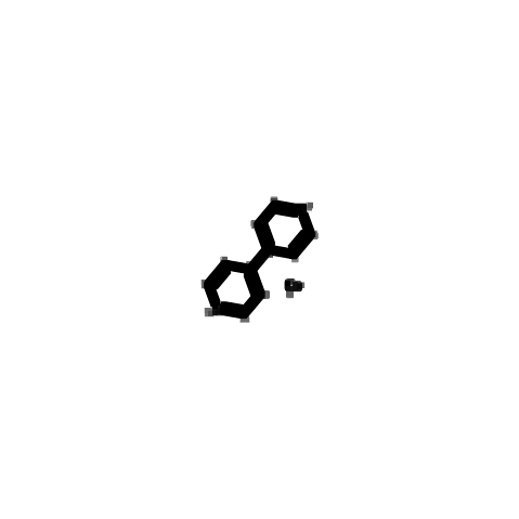 [Co].c1cc(-c2ccncc2)ccn1